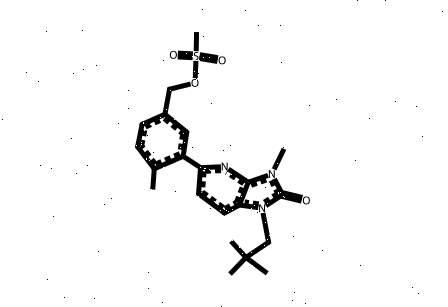 Cc1ccc(COS(C)(=O)=O)cc1-c1ccc2c(n1)n(C)c(=O)n2CC(C)(C)C